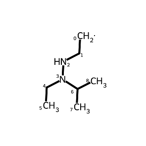 [CH2]CNN(CC)C(C)C